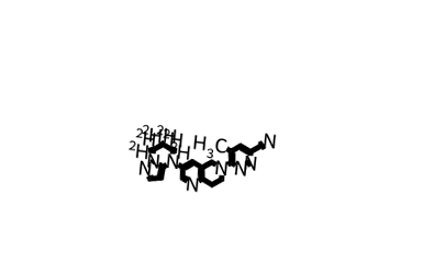 [2H]C1([2H])N(c2cnc3c(c2)CN(c2nnc(C#N)cc2C)CC3)c2ccnn2C([2H])([2H])C1([2H])[2H]